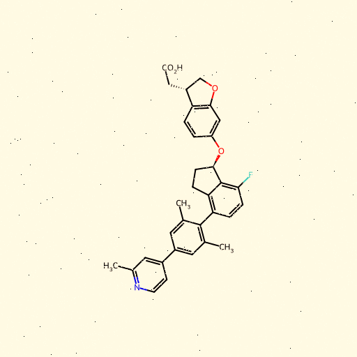 Cc1cc(-c2cc(C)c(-c3ccc(F)c4c3CC[C@H]4Oc3ccc4c(c3)OC[C@H]4CC(=O)O)c(C)c2)ccn1